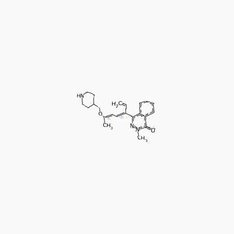 C=C/C(=C\C=C(/C)OCC1CCNCC1)c1nn(C)c(=O)c2ccccc12